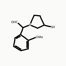 COc1ccccc1C(C=O)N1CCC(S)C1